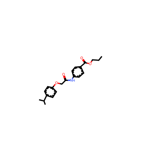 CCCOC(=O)c1ccc(NC(=O)COc2ccc(C(C)C)cc2)cc1